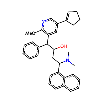 COc1ncc(C2=CCCC2)cc1C(c1ccccc1)C(O)CC(c1cccc2ccccc12)N(C)C